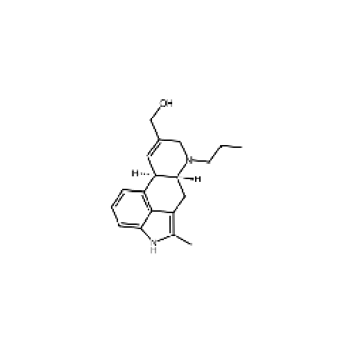 CCCN1CC(CO)=C[C@@H]2c3cccc4[nH]c(C)c(c34)C[C@H]21